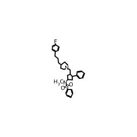 CN(C1CC(CN2CCC(CCCc3ccc(F)cc3)CC2)C(c2ccccc2)C1)S(=O)(=O)c1ccccc1